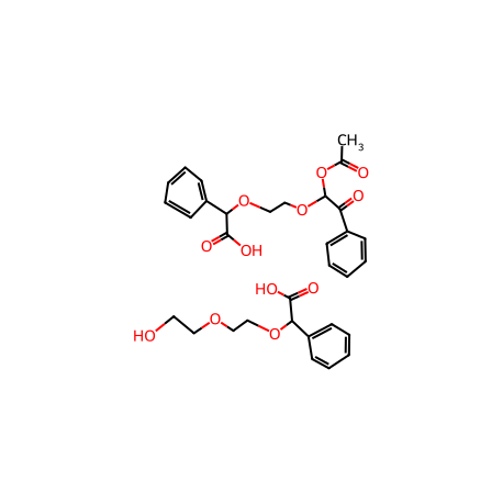 CC(=O)OC(OCCOC(C(=O)O)c1ccccc1)C(=O)c1ccccc1.O=C(O)C(OCCOCCO)c1ccccc1